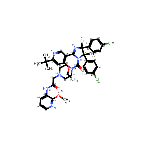 CCOc1cc(C(C)(C)C)ncc1C1=NC(C)(c2ccc(Cl)cc2)C(C)(c2ccc(Cl)cc2)N1C(=O)N1CCN(CC(=O)Nc2cccnc2OC)CC1